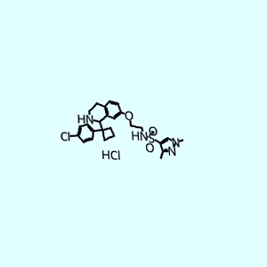 Cc1nn(C)cc1S(=O)(=O)NCCOc1ccc2c(c1)C(C1(c3ccc(Cl)cc3)CCC1)NCC2.Cl